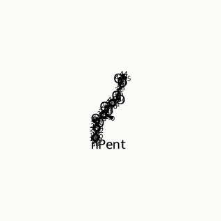 C#Cc1cc(C(=O)OC2(C#C)CCC(C3CCC(CCCCC)CC3)CC2)ccc1OC(=O)C1CCC(C(=O)OCCCCOC(=O)C(=C)C)CC1